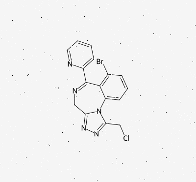 ClCc1nnc2n1-c1cccc(Br)c1C(c1ccccn1)=NC2